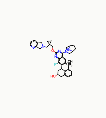 C#Cc1cccc2c1C(c1c(C)cc3c(N4CC5CCC(C4)N5)nc(OCC4(CN5Cc6cccnc6C5)CC4)nc3c1F)C[C@H](O)C2